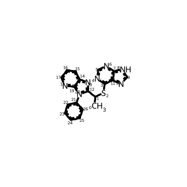 CC(Sc1ncnc2[nH]cnc12)c1nc2cccnc2n1-c1ccccc1